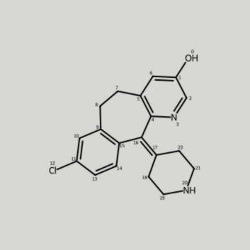 Oc1cnc2c(c1)CCc1cc(Cl)ccc1C2=C1CCNCC1